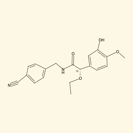 CCO[C@H](C(=O)NCc1ccc(C#N)cc1)c1ccc(OC)c(O)c1